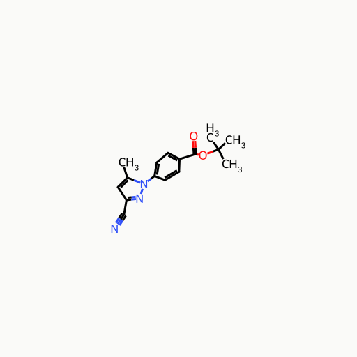 Cc1cc(C#N)nn1-c1ccc(C(=O)OC(C)(C)C)cc1